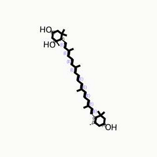 CC(/C=C/C=C(C)/C=C/[C@@H]1C(C)(C)C[C@H](O)C[C@@]1(C)O)=C\C=C\C=C(C)\C=C\C=C(C)\C=C\[C@H]1[C@@H](C)C[C@@H](O)CC1(C)C